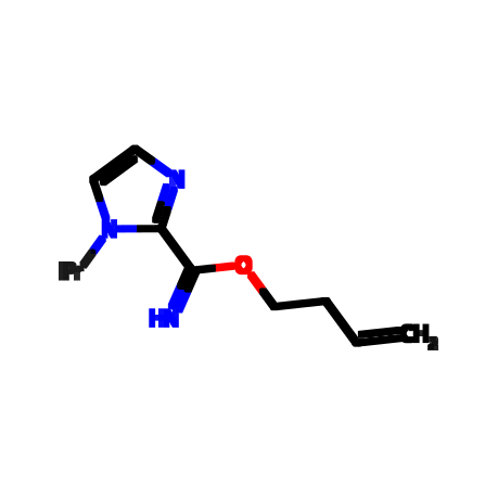 C=CCCOC(=N)c1nccn1C(C)C